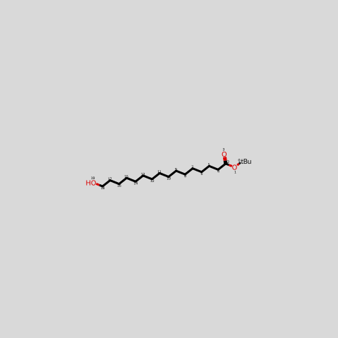 CC(C)(C)OC(=O)CCCCCCCCCCCCCCCO